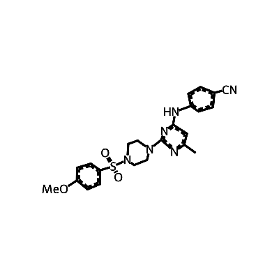 COc1ccc(S(=O)(=O)N2CCN(c3nc(C)cc(Nc4ccc(C#N)cc4)n3)CC2)cc1